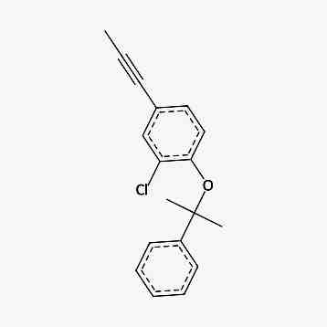 CC#Cc1ccc(OC(C)(C)c2ccccc2)c(Cl)c1